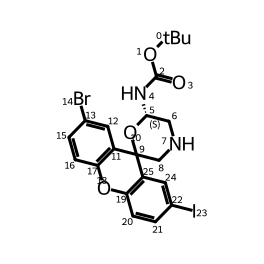 CC(C)(C)OC(=O)N[C@@H]1CNCC2(O1)c1cc(Br)ccc1Oc1ccc(I)cc12